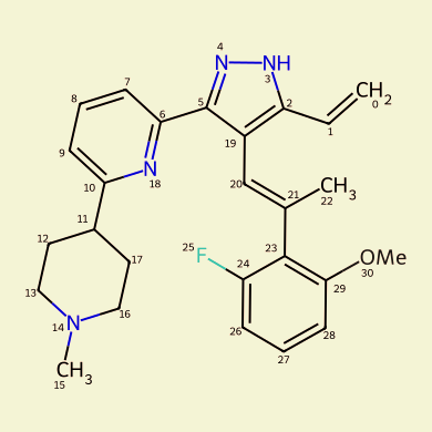 C=Cc1[nH]nc(-c2cccc(C3CCN(C)CC3)n2)c1/C=C(\C)c1c(F)cccc1OC